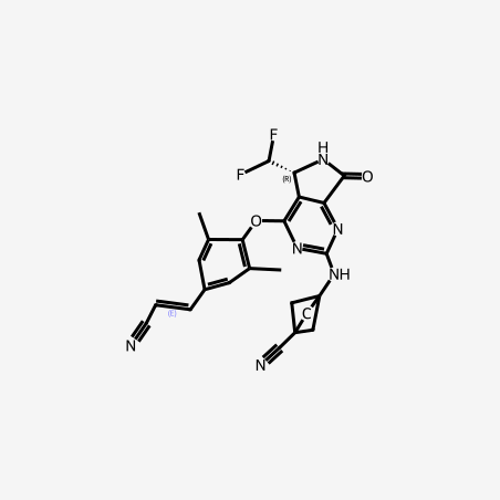 Cc1cc(/C=C/C#N)cc(C)c1Oc1nc(NC23CC(C#N)(C2)C3)nc2c1[C@H](C(F)F)NC2=O